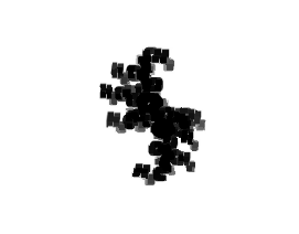 C=C(CCC)C(=O)Oc1ccc(C(C)(C)c2ccc(OC(=O)C(=C)CCC)c(OCC)c2OCC)c(OCC)c1OCC